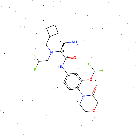 NC[C@@H](C(=O)Nc1ccc(N2CCOCC2=O)c(OC(F)F)c1)N(CC(F)F)CC1CCC1